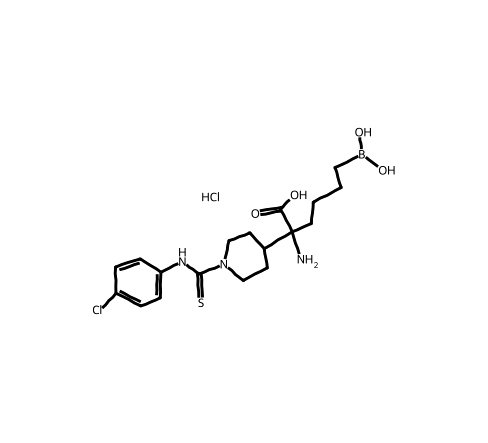 Cl.NC(CCCCB(O)O)(C(=O)O)C1CCN(C(=S)Nc2ccc(Cl)cc2)CC1